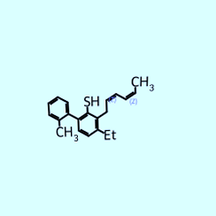 C/C=C\C=C/Cc1c(CC)ccc(-c2ccccc2C)c1S